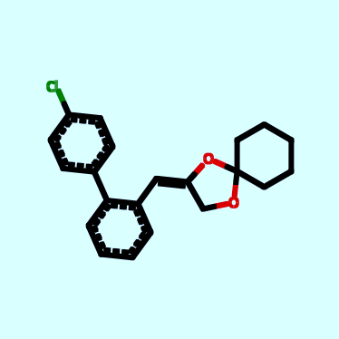 Clc1ccc(-c2ccccc2C=C2COC3(CCCCC3)O2)cc1